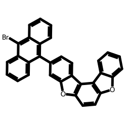 Brc1c2ccccc2c(-c2ccc3c(c2)oc2ccc4oc5ccccc5c4c23)c2ccccc12